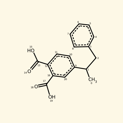 CC(Cc1ccccc1)c1ccc(C(=O)O)c(C(=O)O)c1